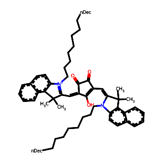 CCCCCCCCCCCCCCCCCCN1/C(=C\C2=C(O)C(=C/C3=[N+](CCCCCCCCCCCCCCCCCC)c4ccc5ccccc5c4C3(C)C)/C(=O)C2=O)C(C)(C)c2c1ccc1ccccc21